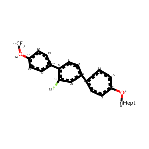 CCCCCCCOc1ccc(-c2ccc(-c3ccc(OC(F)(F)F)cc3)c(F)c2)cc1